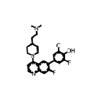 CN(C)CCC1CCN(c2[c]cnc3cc(F)c(-c4cc(F)c(O)c(Cl)c4)cc23)CC1